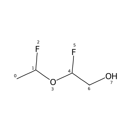 CC(F)OC(F)CO